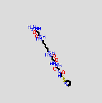 NNC(=O)CC(=O)NNCCCCCCNNC(=O)CC(=O)NNC(=O)CNC(=O)CSSc1ccccn1